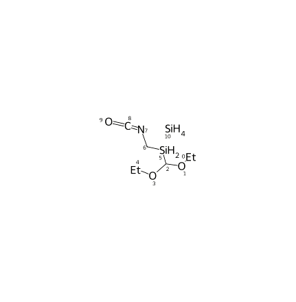 CCOC(OCC)[SiH2]CN=C=O.[SiH4]